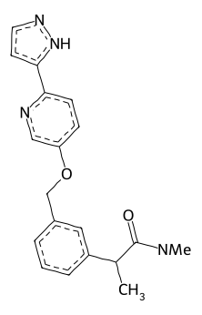 CNC(=O)C(C)c1cccc(COc2ccc(-c3ccn[nH]3)nc2)c1